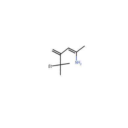 C=C(/C=C(/C)N)C(C)(C)CC